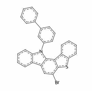 Brc1cc2c3ccccc3n(-c3cccc(-c4ccccc4)c3)c2c2c1sc1ccccc12